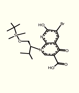 CC(C)[C@@H](CO[Si](C)(C)C(C)(C)C)n1cc(C(=O)O)c(=O)c2cc(Br)c(O)nc21